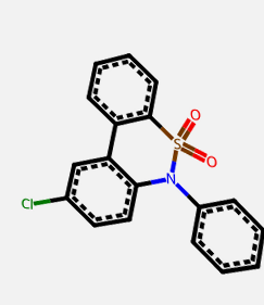 O=S1(=O)c2ccccc2-c2cc(Cl)ccc2N1c1ccccc1